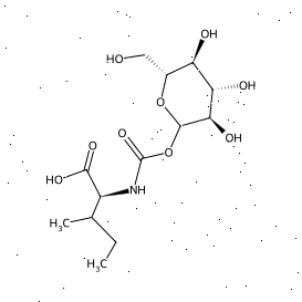 CCC(C)[C@H](NC(=O)OC1O[C@H](CO)[C@@H](O)[C@H](O)[C@H]1O)C(=O)O